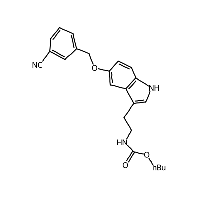 CCCCOC(=O)NCCc1c[nH]c2ccc(OCc3cccc(C#N)c3)cc12